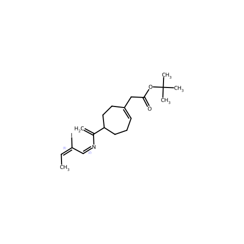 C=C(/N=C\C(I)=C/C)C1CCC=C(CC(=O)OC(C)(C)C)CC1